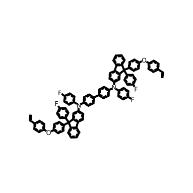 C=Cc1ccc(Oc2ccc(C3(c4ccc(F)cc4)c4ccccc4-c4ccc(N(c5ccc(F)cc5)c5ccc(-c6ccc(N(c7ccc(F)cc7)c7ccc8c(c7)C(c7ccc(F)cc7)(c7ccc(Oc9ccc(C=C)cc9)cc7)c7ccccc7-8)cc6)cc5)cc43)cc2)cc1